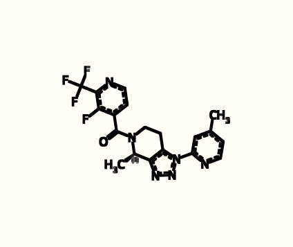 Cc1ccnc(-n2nnc3c2CCN(C(=O)c2ccnc(C(F)(F)F)c2F)[C@@H]3C)c1